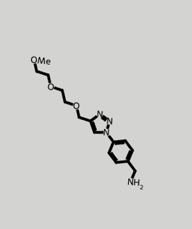 COCCOCCOCc1cn(-c2ccc(CN)cc2)nn1